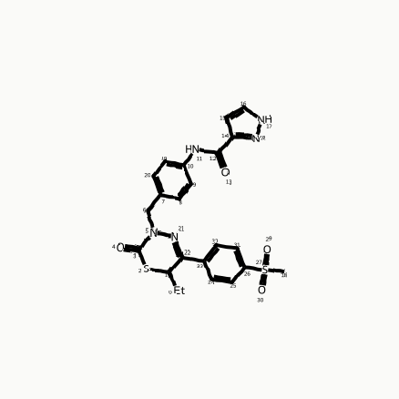 CCC1SC(=O)N(Cc2ccc(NC(=O)c3cc[nH]n3)cc2)N=C1c1ccc(S(C)(=O)=O)cc1